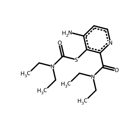 CCN(CC)C(=O)Sc1c(N)ccnc1C(=O)N(CC)CC